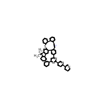 CC1(C)c2ccccc2-c2cc3c(cc21)Sc1ccccc1-c1ccccc1/C=C\c1ccc(-c2cc(-c4ccccc4)nc(-c4ccc(-c5cccnc5)nc4)n2)cc1-3